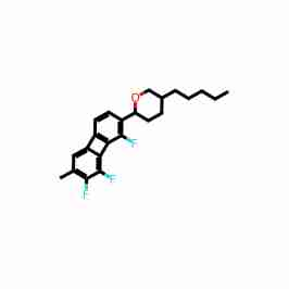 CCCCCC1CCC(c2ccc3c(c2F)-c2c-3cc(C)c(F)c2F)OC1